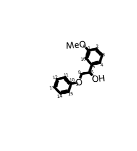 COc1cccc(C(O)COc2ccccc2)c1